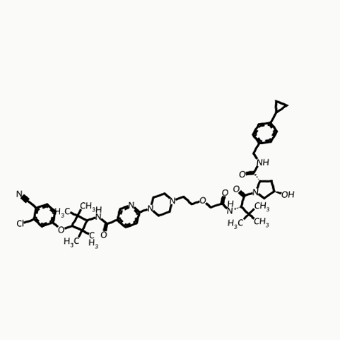 CC1(C)C(NC(=O)c2ccc(N3CCN(CCOCC(=O)N[C@H](C(=O)N4C[C@H](O)C[C@H]4C(=O)NCc4ccc(C5CC5)cc4)C(C)(C)C)CC3)nc2)C(C)(C)C1Oc1ccc(C#N)c(Cl)c1